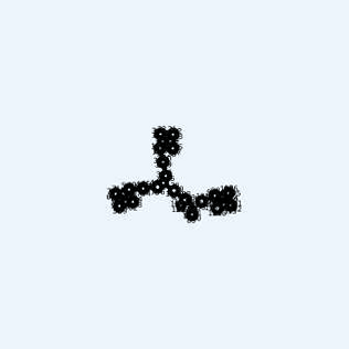 C1=CC(C2c3ccc(-c4ccc(-c5ccc6c(c5)C5(c7ccccc7-c7ccccc75)c5ccccc5-6)cc4)cc3C3CC(c4ccc(-c5ccc6c(c5)C5(c7ccccc7-c7ccccc75)c5ccccc5-6)cc4)CCC32)CCC1C1=CC=C(N(c2ccccc2)C2CCC(c3ccc4c(c3)C3(c5ccccc5-4)c4ccccc4C4CCCCC43)CC2)C2CCCC12